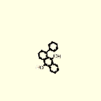 Oc1c2ccccc2c(O)c2c(-c3ccccc3)cccc12